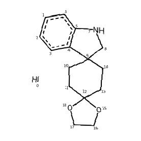 I.c1ccc2c(c1)NCC21CCC2(CC1)OCCO2